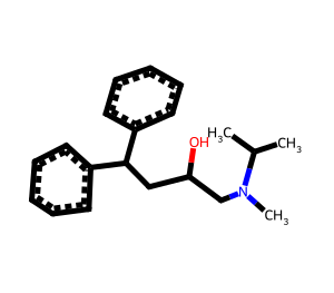 CC(C)N(C)CC(O)CC(c1ccccc1)c1ccccc1